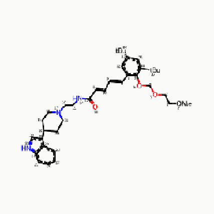 COCCOCOc1c(C=CC=CC(=O)NCCN2CCC(c3c[nH]c4ccccc34)CC2)cc(C(C)(C)C)cc1C(C)(C)C